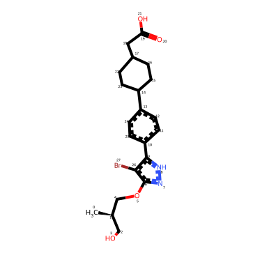 C[C@H](CO)COc1n[nH]c(-c2ccc(C3CCC(CC(=O)O)CC3)cc2)c1Br